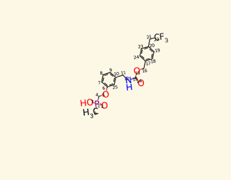 CP(=O)(O)COc1cccc(CNC(=O)OCc2ccc(CC(F)(F)F)cc2)c1